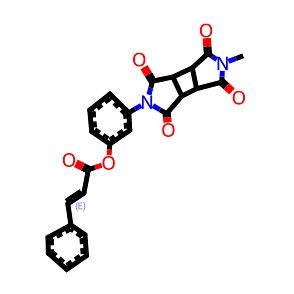 CN1C(=O)C2C(C1=O)C1C(=O)N(c3cccc(OC(=O)/C=C/c4ccccc4)c3)C(=O)C21